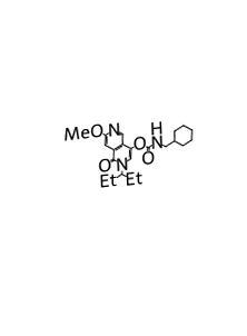 CCC(CC)n1cc(OC(=O)NCC2CCCCC2)c2cnc(OC)cc2c1=O